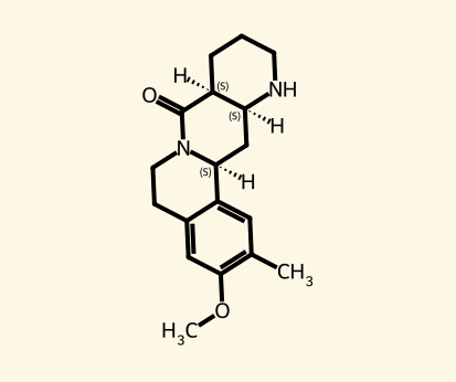 COc1cc2c(cc1C)[C@@H]1C[C@@H]3NCCC[C@@H]3C(=O)N1CC2